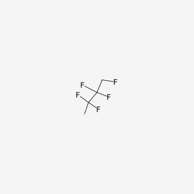 CC(F)(F)C(F)(F)CF